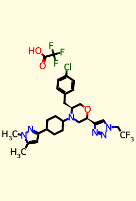 Cc1cc(C2CCC(N3C[C@H](c4cn(CC(F)(F)F)nn4)OC[C@@H]3Cc3ccc(Cl)cc3)CC2)nn1C.O=C(O)C(F)(F)F